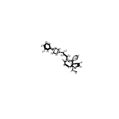 CCn1ccc2c1C=CCN(CCCN1CCN(c3ccccc3)CC1)C2=O